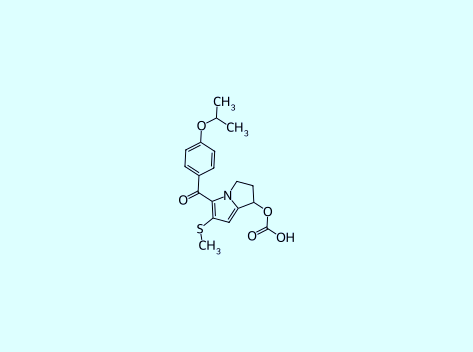 CSc1cc2n(c1C(=O)c1ccc(OC(C)C)cc1)CCC2OC(=O)O